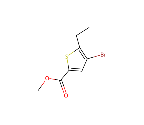 CCc1sc(C(=O)OC)cc1Br